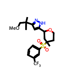 COCC(C)(C)c1cc(C2CC(C)(S(=O)(=O)c3cccc(C(F)(F)F)c3)CCO2)[nH]n1